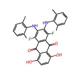 Cc1cccc(C)c1Nc1c(F)c2c(c(F)c1Nc1c(C)cccc1C)C(=O)c1c(O)ccc(O)c1C2=O